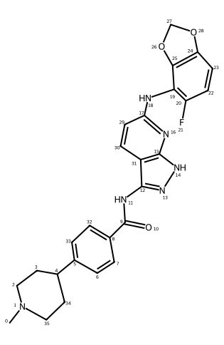 CN1CCC(c2ccc(C(=O)Nc3n[nH]c4nc(Nc5c(F)ccc6c5OCO6)ccc34)cc2)CC1